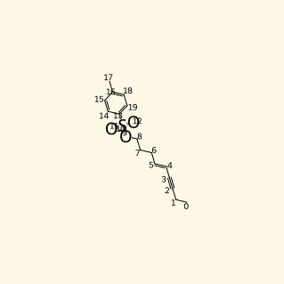 CCC#C/C=C/CCCOS(=O)(=O)c1ccc(C)cc1